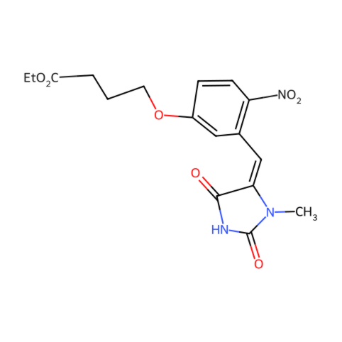 CCOC(=O)CCCOc1ccc([N+](=O)[O-])c(/C=C2\C(=O)NC(=O)N2C)c1